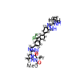 COC(=O)N[C@H](C(=O)N1CC2(CC2)C[C@H]1c1ncc(-c2ccc3c(c2)C(F)(F)c2cc(-c4ccc5nc([C@H]6N[C@@H]7CC[C@H]67)[nH]c5c4)ccc2-3)[nH]1)C(C)C